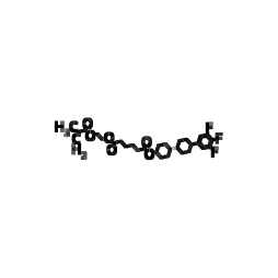 C=C(C)C(=O)OCCOC(=O)CCCCC(=O)O[C@H]1CC[C@H](C2CCC(c3cc(F)c(F)c(F)c3)CC2)CC1